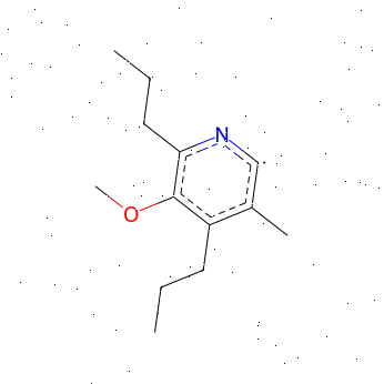 CCCc1n[c]c(C)c(CCC)c1OC